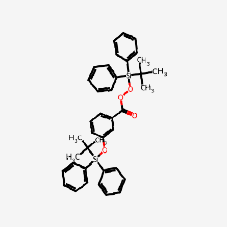 CC(C)(C)[Si](OOC(=O)c1cccc(O[Si](c2ccccc2)(c2ccccc2)C(C)(C)C)c1)(c1ccccc1)c1ccccc1